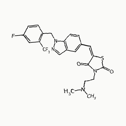 CN(C)CCN1C(=O)SC(=Cc2ccc3c(cnn3Cc3ccc(F)cc3C(F)(F)F)c2)C1=O